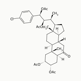 CC(=O)O[C@H]([C@@H](C)[C@H]1CC[C@H]2[C@@H]3CC(=O)[C@H]4C[C@H](OC(C)=O)[C@H](OC(C)=O)C[C@]4(C)[C@H]3CC[C@]12C)[C@H](OC(C)=O)c1ccc(Cl)cc1